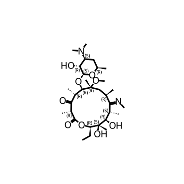 CC[C@H]1OC(=O)[C@H](C)C(=O)[C@H](C)[C@@H](O[C@@H]2O[C@H](C)C[C@H](N(C)C)[C@H]2O)[C@](C)(OC)C[C@@H](C)C(=NC)[C@H](C)[C@@H](O)[C@]1(C)O